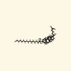 CCCCCCCCCCCCCCCC(=O)O[C@H]1CC[C@@]2(C)[C@@H](CC[C@@H]3[C@@H]2CC[C@]2(C)[C@@H]([C@H](C)CCCC(C)C)CC[C@@H]32)C1